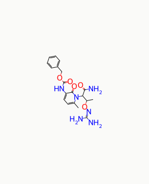 Cc1ccc(NC(=O)OCc2ccccc2)c(=O)n1C(C(N)=O)C(C)ON=C(N)N